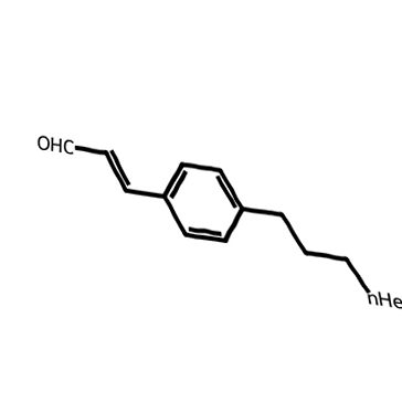 CCCCCCCCCCc1ccc(C=CC=O)cc1